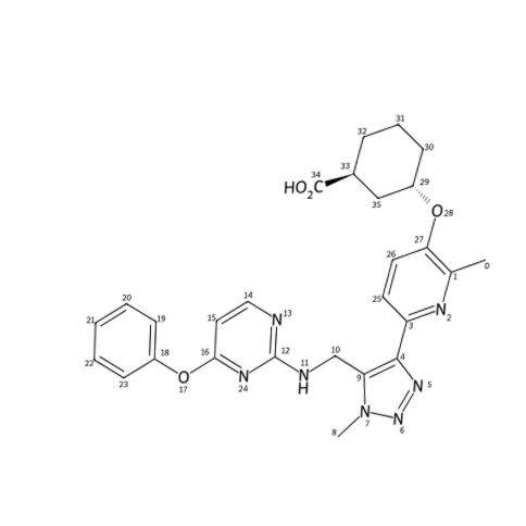 Cc1nc(-c2nnn(C)c2CNc2nccc(Oc3ccccc3)n2)ccc1O[C@H]1CCC[C@H](C(=O)O)C1